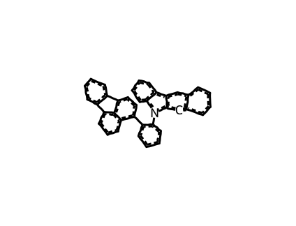 c1ccc2c(c1)-c1cccc3c(-c4ccccc4-n4c5ccccc5c5cc6ccccc6cc54)ccc-2c13